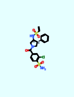 C=CS(=O)(=O)N[C@@H]1CN(C(=O)c2ccc(S(N)(=O)=O)c(Cl)c2)C[C@H]1c1ccccc1